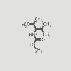 COC(=O)NC(C(C)C)C(C)C